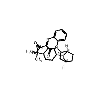 CC(C)(C)[C@H]1CC[C@@H](N2[C@H]3CC[C@@H]2[C@H](n2c(=O)c(C(=O)O)nc4ccccc42)C3)CC1